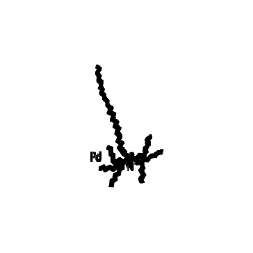 CCCCCCCCCCCCCCCCCCCCCCCCCC#CC1=C(c2cc(CCCCC)c(CCCCC)c(CCCCC)c2)[N+](=[N-])C(c2cc(CCCCC)c(CCCCC)c(CCCCC)c2)=C1.[Pd]